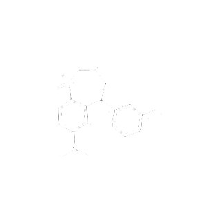 CN(C)c1ccc2c(c1)C(c1cccc(O)c1)CCCS2(=O)=O